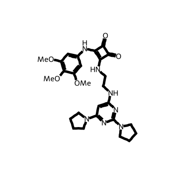 COc1cc(Nc2c(NCCNc3cc(N4CCCC4)nc(N4CCCC4)n3)c(=O)c2=O)cc(OC)c1OC